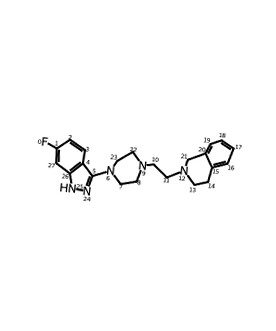 Fc1ccc2c(N3CCN(CCN4CCc5ccccc5C4)CC3)n[nH]c2c1